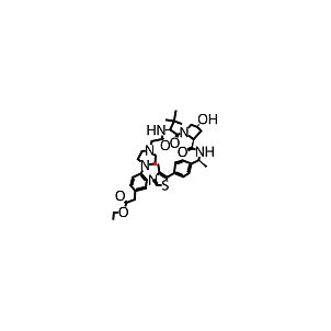 CCOC(=O)Cc1ccc(N2CCN(CC(=O)N[C@H](C(=O)N3C[C@H](O)C[C@H]3C(=O)N[C@@H](C)c3ccc(-c4scnc4C)cc3)C(C)(C)C)CC2)cc1